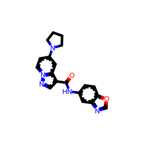 O=C(Nc1ccc2ocnc2c1)c1cnn2ccc(N3CCCC3)cc12